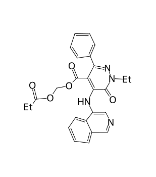 CCC(=O)OCOC(=O)c1c(-c2ccccc2)nn(CC)c(=O)c1Nc1cncc2ccccc12